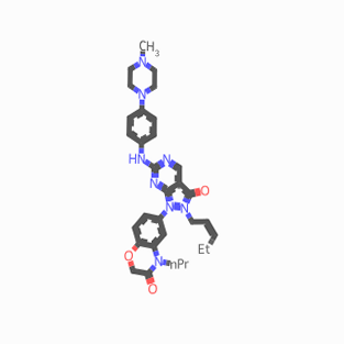 CC/C=C\Cn1c(=O)c2cnc(Nc3ccc(N4CCN(C)CC4)cc3)nc2n1-c1ccc2c(c1)N(CCC)C(=O)CO2